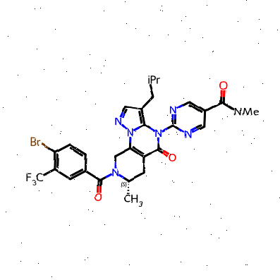 CNC(=O)c1cnc(-n2c(=O)c3c(n4ncc(CC(C)C)c24)CN(C(=O)c2ccc(Br)c(C(F)(F)F)c2)[C@@H](C)C3)nc1